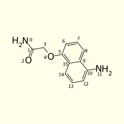 NC(=O)COc1cccc2c(N)cccc12